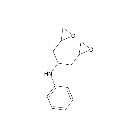 c1ccc(NC(CC2CO2)CC2CO2)cc1